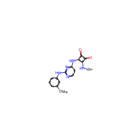 COc1cccc(Nc2nccc(Nc3c(NC(C)(C)C)c(=O)c3=O)n2)c1